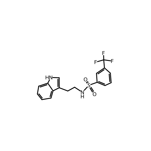 O=S(=O)(NCCc1c[nH]c2ccccc12)c1cccc(C(F)(F)F)c1